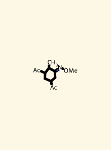 CO/N=C1\CC(C(C)=O)CC(C(C)=O)C1C